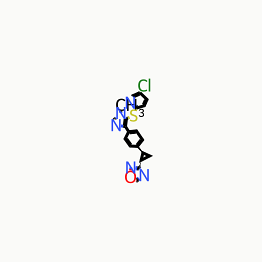 Cn1cnc(-c2ccc([C@H]3C[C@@H]3c3ncon3)cc2)c1Sc1ccc(Cl)cn1